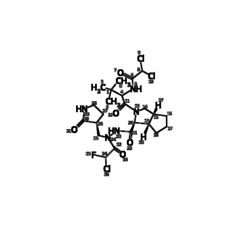 CC(C)(C)C(NC(=O)C(Cl)Cl)C(=O)N1C[C@@H]2CCC[C@@H]2[C@H]1C(=O)NN(C[C@@H]1CCNC1=O)C(=O)C(F)Cl